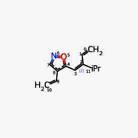 C=C/C(=C\c1oncc1C=C)C(C)C